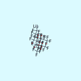 FC(F)(F)C(F)(F)C(F)(F)[C](F)(F)[Al-]([C](F)(F)C(F)(F)C(F)(F)C(F)(F)F)([C](F)(F)C(F)(F)C(F)(F)C(F)(F)F)[C](F)(F)C(F)(F)C(F)(F)C(F)(F)F.[Li+]